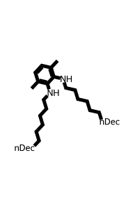 CCCCCCCCCCCCCCCCNc1c(C)ccc(C)c1NCCCCCCCCCCCCCCCC